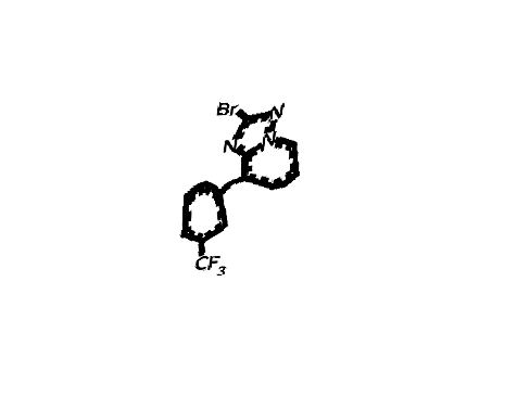 FC(F)(F)c1cccc(-c2cccn3nc(Br)nc23)c1